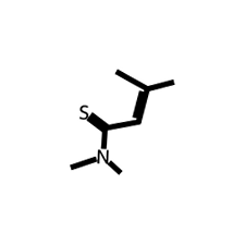 CC(C)=CC(=S)N(C)C